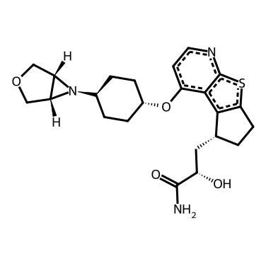 NC(=O)[C@@H](O)C[C@H]1CCc2sc3nccc(O[C@H]4CC[C@H]([N@@]5[C@@H]6COC[C@@H]65)CC4)c3c21